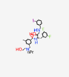 CCCN(CCO)Cc1cc(C)cc(C(=O)N[C@@H](Cc2cc(F)cc(F)c2)[C@@H](O)CNCc2cccc(I)c2)c1